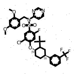 COc1ccc(CN(c2ccncn2)S(=O)(=O)c2cc(Cl)c(O[C@H]3CC[C@H](c4cccc(C(F)(F)F)c4)C[C]3C(C)(C)C)cc2F)c(OC)c1